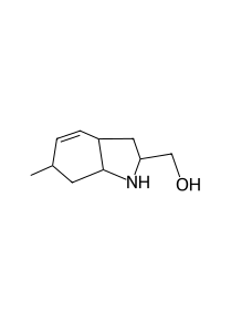 CC1C=CC2CC(CO)NC2C1